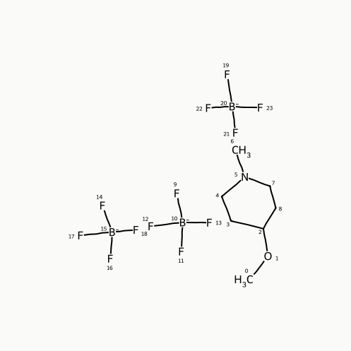 COC1CCN(C)CC1.F[B-](F)(F)F.F[B-](F)(F)F.F[B-](F)(F)F